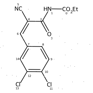 CCOC(=O)NC(=O)C(C#N)=Cc1ccc(Cl)c(Cl)c1